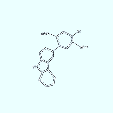 CCCCCCc1cc(-c2ccc3[nH]c4ccccc4c3c2)c(CCCCCC)cc1Br